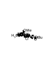 COCOc1cc2nn(C)cc2cc1-c1cc(Cl)c2cc(N3CCN(C(=O)OC(C)(C)C)CC3)cnc2n1